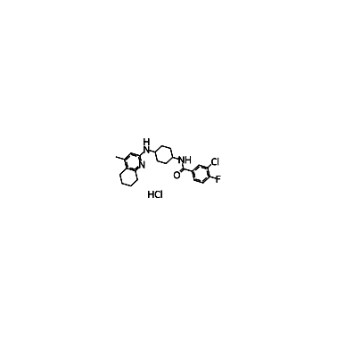 Cc1cc(NC2CCC(NC(=O)c3ccc(F)c(Cl)c3)CC2)nc2c1CCCC2.Cl